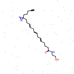 C#CCCCC1(CCC=CCC=CCC=CCCCC(=O)NCCO)N=N1